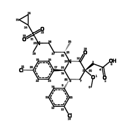 CO[C@]1(CC(=O)O)C[C@H](c2cccc(Cl)c2)[C@@H](c2ccc(Cl)cc2)N([C@@H](C)CCN(C)S(=O)(=O)C2CC2)C1=O